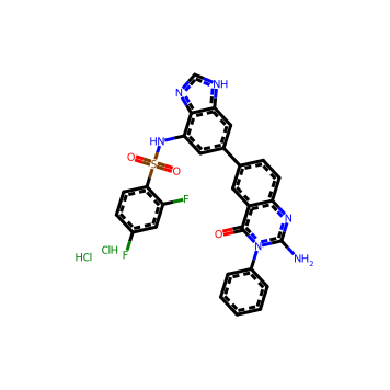 Cl.Cl.Nc1nc2ccc(-c3cc(NS(=O)(=O)c4ccc(F)cc4F)c4nc[nH]c4c3)cc2c(=O)n1-c1ccccc1